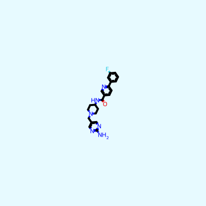 Nc1ncc(CN2CCC(NC(=O)c3ccc(-c4cccc(F)c4)nc3)CC2)cn1